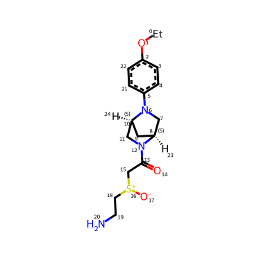 CCOc1ccc(N2C[C@@H]3C[C@H]2CN3C(=O)C[S+]([O-])CCN)cc1